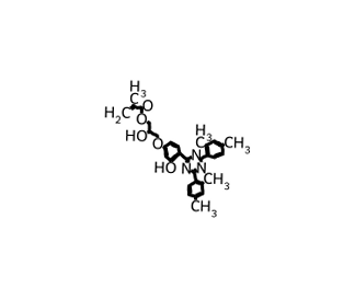 C=C(C)C(=O)OCC(O)COc1ccc(-c2nc(-c3ccc(C)cc3C)nc(-c3ccc(C)cc3C)n2)c(O)c1